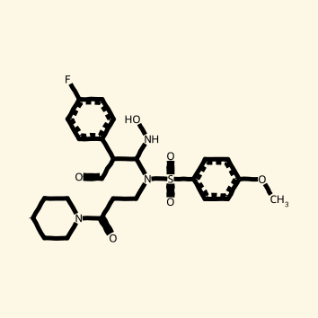 COc1ccc(S(=O)(=O)N(CCC(=O)N2CC[CH]CC2)C(NO)C(C=O)c2ccc(F)cc2)cc1